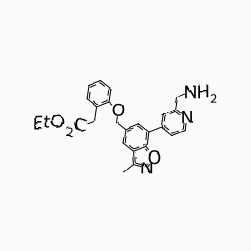 CCOC(=O)Cc1ccccc1OCc1cc(-c2ccnc(CN)c2)c2onc(C)c2c1